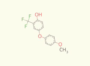 COc1ccc(Oc2ccc(O)c(C(F)(F)F)c2)cc1